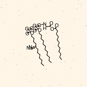 CCCCCCCCCCCC(=O)OC(=O)CNC.CCCCCCCCCCCCOS(=O)(=O)[O-].CCCCCCCCCCCCOS(=O)(=O)[O-].[Na+].[Na+]